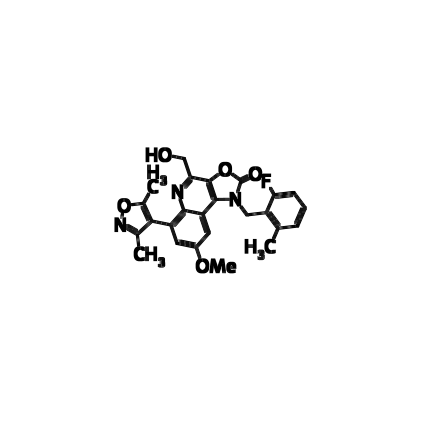 COc1cc(-c2c(C)noc2C)c2nc(CO)c3oc(=O)n(Cc4c(C)cccc4F)c3c2c1